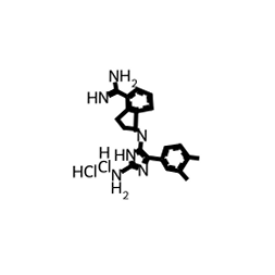 Cc1ccc(-c2nc(N)[nH]c2N=C2CCc3c(C(=N)N)cccc32)cc1C.Cl.Cl